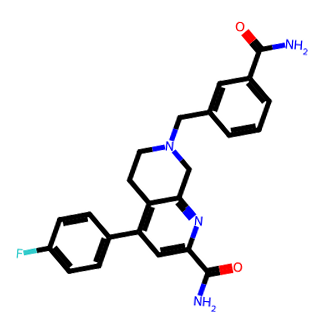 NC(=O)c1cccc(CN2CCc3c(-c4ccc(F)cc4)cc(C(N)=O)nc3C2)c1